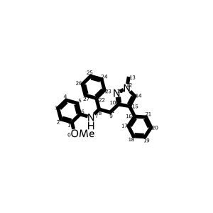 COc1ccccc1NC([CH]c1nn(C)cc1-c1ccccc1)c1ccccc1